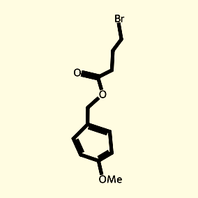 COc1ccc(COC(=O)CCCBr)cc1